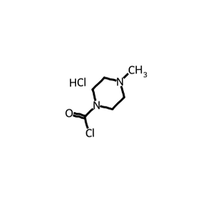 CN1CCN(C(=O)Cl)CC1.Cl